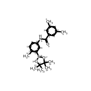 Cc1cc(C)cc(C(=O)Nc2ccc(C)c(B3OC(C)(C)C(C)(C)O3)c2)c1